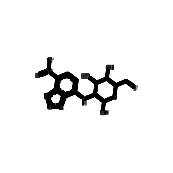 O=[N+]([O-])c1ccc(NC2C(O)OC(CF)C(O)C2O)c2nonc12